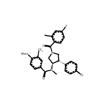 COc1ccc(C(=O)N(C)[C@H]2CN(C(=O)c3ccc(F)cc3C)C[C@@H]2c2ccc(Cl)cc2)cc1C(F)(F)F